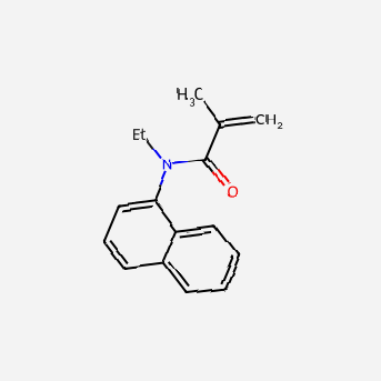 C=C(C)C(=O)N(CC)c1cccc2ccccc12